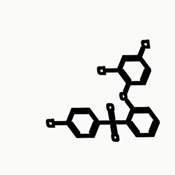 O=S(=O)(c1ccc(Cl)cc1)c1ccccc1Oc1ccc(Cl)cc1Cl